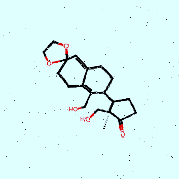 C[C@@]1(CO)C(=O)CCC1C1CCC2=CC3(CCC2=C1CO)OCCO3